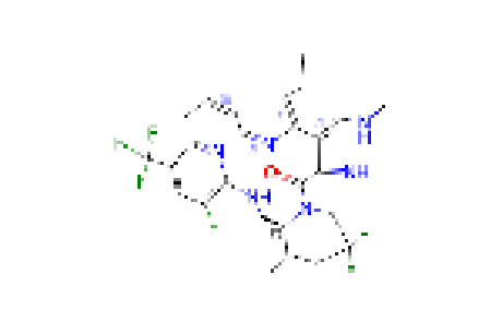 C\C=C/C=N\C(=C\CC)C(=C\NC)\C(=N)C(=O)N1CC(F)(F)CC(C)[C@H]1CNc1ncc(C(F)(F)F)cc1F